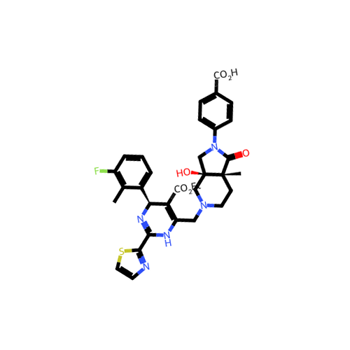 CCOC(=O)C1=C(CN2CC[C@@]3(C)C(=O)N(c4ccc(C(=O)O)cc4)C[C@@]3(O)C2)NC(c2nccs2)=N[C@H]1c1cccc(F)c1C